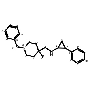 FC1(CNC2CC2c2ccccc2)CCN(Sc2ccccc2)CC1